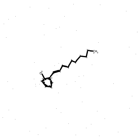 CCCCCCCCC=Cc1[c]cccc1Cl